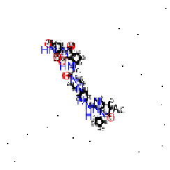 CC(=O)c1c(C)c2cnc(Nc3ccc(N4CCN(C(=O)CNc5cccc6c5C(=O)N(C5CCC(=O)NC5=O)C6=O)CC4)cn3)nc2n(C2CCCC2)c1=O